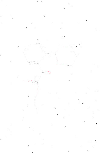 CCOC(=O)C(=O)c1ccccc1C1OCCCO1